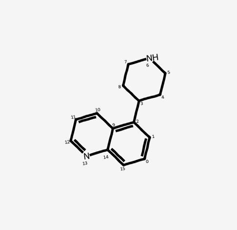 c1cc(C2CCNCC2)c2cccnc2c1